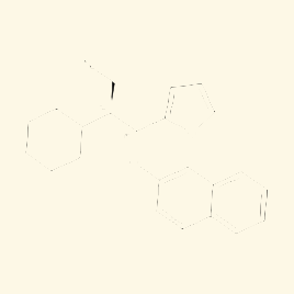 O=[N+]([O-])C[C@H](C1CCCCC1)[C@@H](Oc1ccc2ccccc2c1)c1ccco1